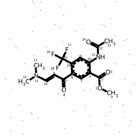 COC(=O)c1cc(C(=O)C=CN(C)C)c(C(F)(F)F)cc1NC(C)=O